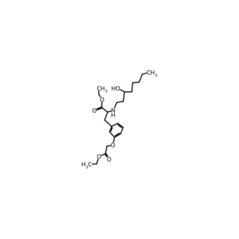 CCCCCC(O)CCNC(Cc1cccc(OCC(=O)OCC)c1)C(=O)OCC